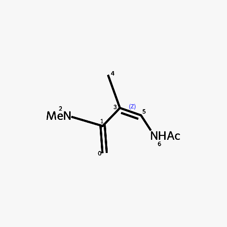 C=C(NC)/C(C)=C\NC(C)=O